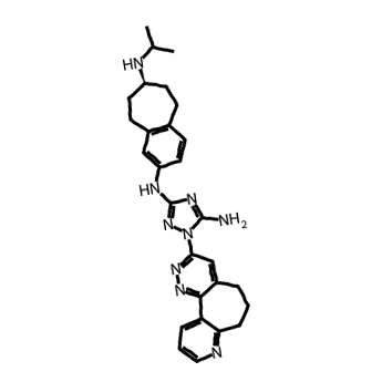 CC(C)N[C@H]1CCc2ccc(Nc3nc(N)n(-c4cc5c(nn4)-c4cccnc4CCC5)n3)cc2CC1